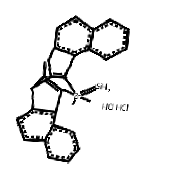 CC1=[C]([Zr]([CH3])([CH3])(=[SiH2])[C]2=C(C)Cc3ccc4ccccc4c32)c2c(ccc3ccccc23)C1.Cl.Cl